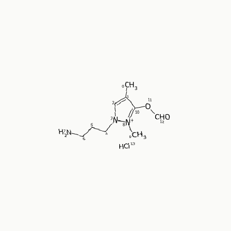 Cc1cn(CCCN)[n+](C)c1OC=O.Cl